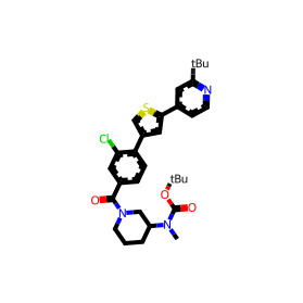 CN(C(=O)OC(C)(C)C)C1CCCN(C(=O)c2ccc(-c3csc(-c4ccnc(C(C)(C)C)c4)c3)c(Cl)c2)C1